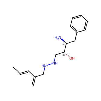 C=C(C=CC)CNNC[C@@H](O)[C@@H](N)Cc1ccccc1